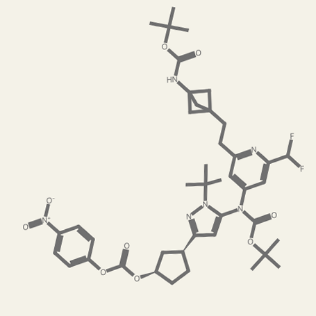 CC(C)(C)OC(=O)NC12CC(CCc3cc(N(C(=O)OC(C)(C)C)c4cc([C@H]5CC[C@@H](OC(=O)Oc6ccc([N+](=O)[O-])cc6)C5)nn4C(C)(C)C)cc(C(F)F)n3)(C1)C2